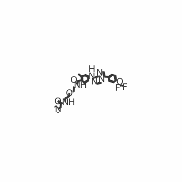 Cc1cc(Nc2nccn3c(-c4ccc(OC(F)F)cc4)cnc23)ccc1C(=O)NCCOCCNC(=O)CN(C)C